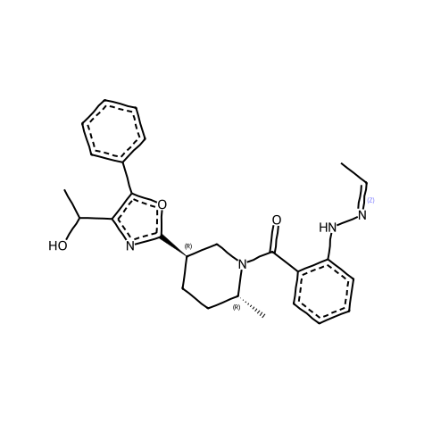 C/C=N\Nc1ccccc1C(=O)N1C[C@H](c2nc(C(C)O)c(-c3ccccc3)o2)CC[C@H]1C